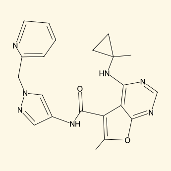 Cc1oc2ncnc(NC3(C)CC3)c2c1C(=O)Nc1cnn(Cc2ccccn2)c1